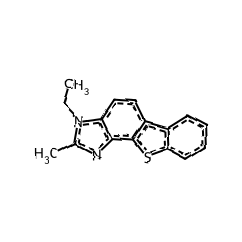 CCn1c(C)nc2c3sc4ccccc4c3ccc21